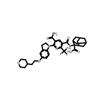 NC(=O)c1cc(C(=O)NC2(C(=O)O)C3CC4CC(C3)CC2C4)c(C(F)(F)F)nc1N1CCc2cc(OCCC3CCOCC3)ccc21